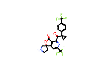 O=C1OC2(CCNC2)c2cc(C(F)(F)F)nc(C(=O)C3(c4ccc(C(F)(F)F)cc4)CC3)c21